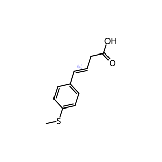 CSc1ccc(/C=C/CC(=O)O)cc1